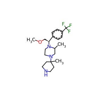 COC[C@@H](c1ccc(C(F)(F)F)cc1)N1CCN(C2(C)CCNCC2)CC1C